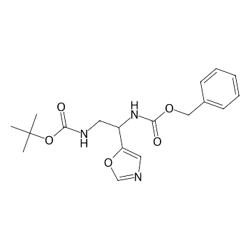 CC(C)(C)OC(=O)NCC(NC(=O)OCc1ccccc1)c1cnco1